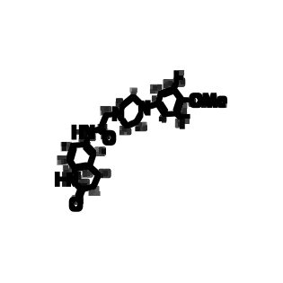 COc1c(F)cc(N2CCN(CC(=O)Nc3ccc4c(c3)CCC(=O)N4)CC2)cc1F